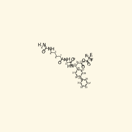 NC(=O)NCCCCC(=O)NCC(=O)NC(CC(=O)OC(=O)C(F)(F)F)c1ccc(-c2ccccc2)cc1